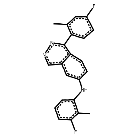 Cc1cc(F)ccc1-c1nncc2cc(Nc3cccc(F)c3C)ccc12